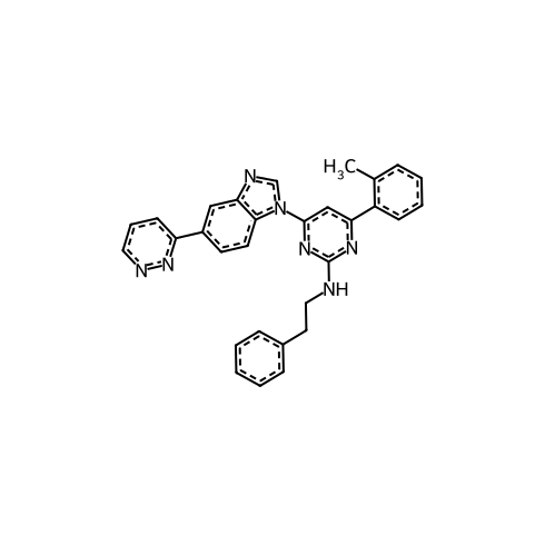 Cc1ccccc1-c1cc(-n2cnc3cc(-c4cccnn4)ccc32)nc(NCCc2ccccc2)n1